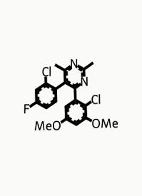 COc1cc(OC)c(Cl)c(-c2nc(C)nc(C)c2-c2ccc(F)cc2Cl)c1